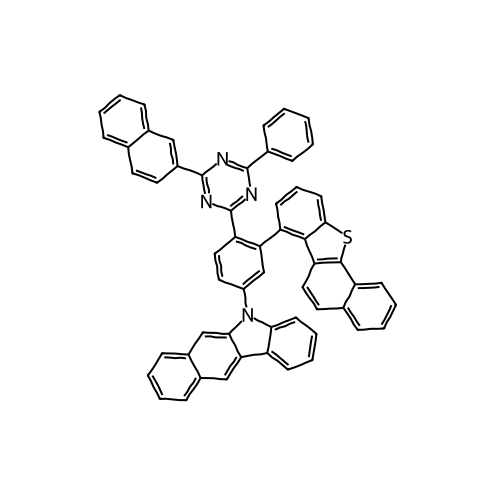 c1ccc(-c2nc(-c3ccc4ccccc4c3)nc(-c3ccc(-n4c5ccccc5c5cc6ccccc6cc54)cc3-c3cccc4sc5c6ccccc6ccc5c34)n2)cc1